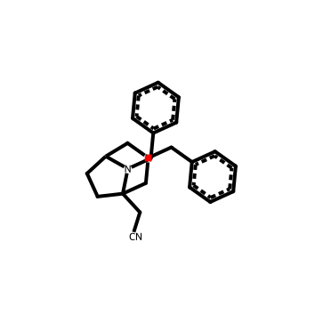 N#CCC12CCC(CN(Cc3ccccc3)C1)N2Cc1ccccc1